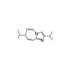 CC(C)c1cn2c(n1)C=CC(C(C)C)C=C2